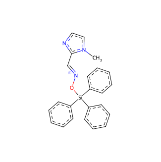 Cn1ccnc1/C=N/O[Si](c1ccccc1)(c1ccccc1)c1ccccc1